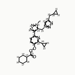 Cn1nnc(-c2ccc(OOC(=O)C3CCCCC3)c(C3CC3)n2)c1Cn1cc(CC2CC2)nn1